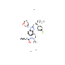 COC(=O)N1c2ccc3c(nc(C[C@H](C(=O)O)c4ccc(F)cc4)n3[C@H]3CCCOC3)c2CC[C@@H]1C